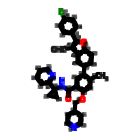 Cc1cc(OCc2ccncc2)c(C(=O)NC2(c3ccccn3)CC2)cc1-c1ccc2oc(-c3ccc(F)cc3)c(C=O)c2c1